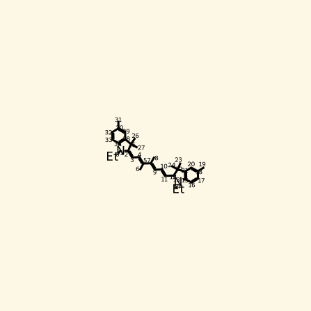 CCN1/C(=C/C=C(C)/C(C)=C/C=C/C2=[N+](CC)c3ccc(C)cc3C2(C)C)C(C)(C)c2cc(C)ccc21